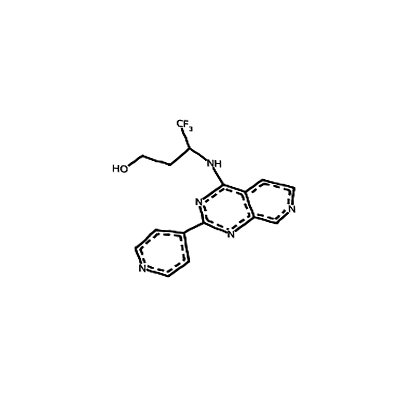 OCCC(Nc1nc(-c2ccncc2)nc2cnccc12)C(F)(F)F